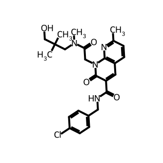 Cc1ccc2cc(C(=O)NCc3ccc(Cl)cc3)c(=O)n(CC(=O)N(C)CC(C)(C)CO)c2n1